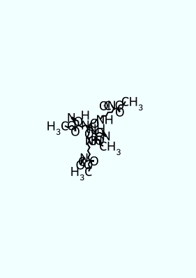 CCOC(=O)C(CCCCNCOCC(COCNCCCCC(N=C=O)C(=O)OCC)(NCC(OC#N)C(=O)OCC)NCC(OC#N)C(=O)OCC)N=C=O